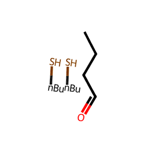 CCCC=O.CCCCS.CCCCS